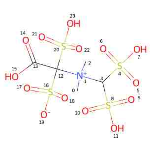 C[N+](C)(C(S(=O)(=O)O)S(=O)(=O)O)C(C(=O)O)(S(=O)(=O)[O-])S(=O)(=O)O